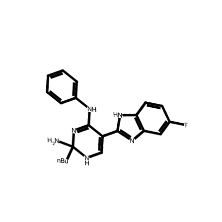 CCCCC1(N)N=C(Nc2ccccc2)C(c2nc3cc(F)ccc3[nH]2)=CN1